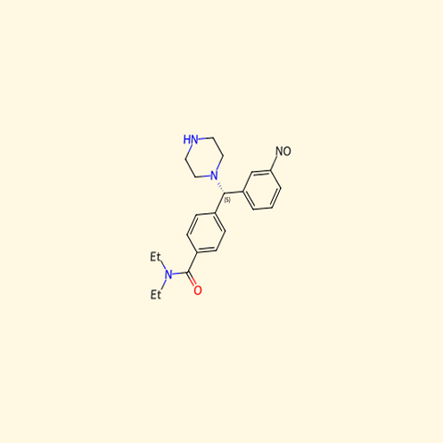 CCN(CC)C(=O)c1ccc([C@@H](c2cccc(N=O)c2)N2CCNCC2)cc1